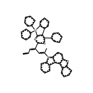 C=C/C=C(\C=C(/C)n1c2ccccc2c2c3c(ccc21)sc1ccccc13)c1nc(-c2ccccc2)c2c(n1)[Si](c1ccccc1)(c1ccccc1)c1ccccc1-2